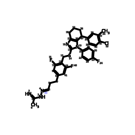 CC(=N)N/N=C/CCc1cc(F)c(CSc2nc3c(n2-c2ccc(F)cc2)C(c2ccc(Cl)c(C)c2)CCC3)c(F)c1